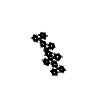 c1ccc(-c2c(-c3ccc(N(c4ccccc4)c4ccccc4)nc3)oc3cc4c(-c5ccccc5)c(-c5ccc(N(c6ccccc6)c6ccccc6)nc5)n(-c5ccccc5)c4cc23)cc1